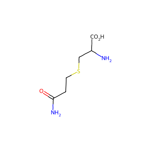 NC(=O)CCSCC(N)C(=O)O